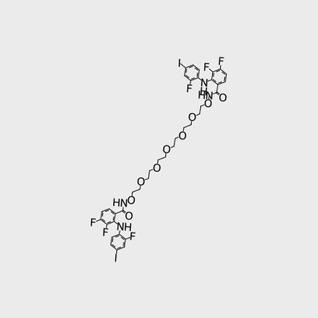 O=C(NOCCOCCOCCOCCOCCOCCONC(=O)c1ccc(F)c(F)c1Nc1ccc(I)cc1F)c1ccc(F)c(F)c1Nc1ccc(I)cc1F